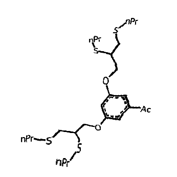 CCCSCC(COc1cc(OCC(CSCCC)SCCC)cc(C(C)=O)c1)SCCC